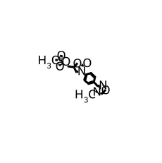 CN1CON=C1c1ccc(N2CC(COS(C)(=O)=O)OC2=O)cc1